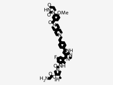 COc1ccc(C(=O)N2CCC3(CCN(CCc4ccc(-c5cc6c(-c7cc(F)cc(NC(=O)N8C[C@H](CC(C)C)[C@@H](OC(=O)CN)C8)c7C)ncnc6[nH]5)cc4)CC3)CC2)cc1N1CCC(=O)NC1=O